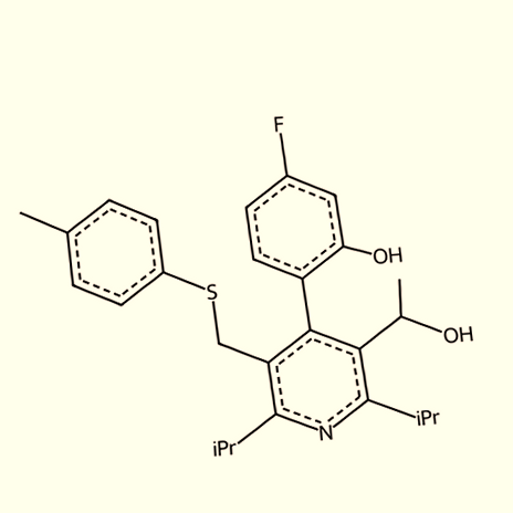 Cc1ccc(SCc2c(C(C)C)nc(C(C)C)c(C(C)O)c2-c2ccc(F)cc2O)cc1